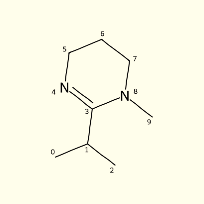 CC(C)C1=NCCCN1C